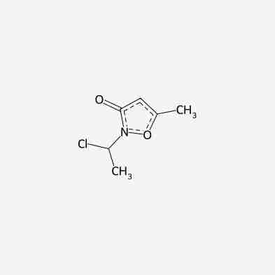 Cc1cc(=O)n(C(C)Cl)o1